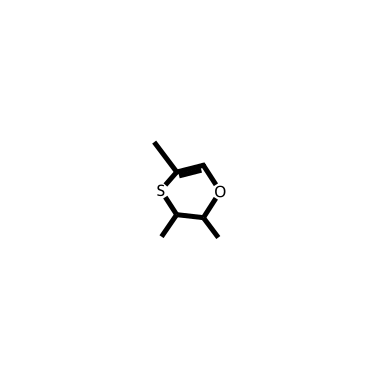 CC1=COC(C)C(C)S1